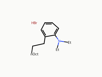 Br.CCCCCCCCCCc1ccccc1N(CC)CC